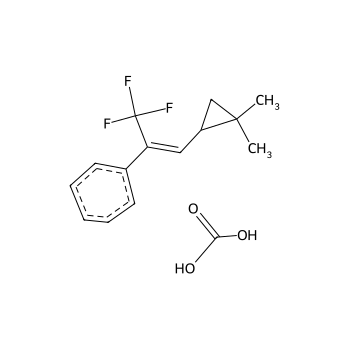 CC1(C)CC1C=C(c1ccccc1)C(F)(F)F.O=C(O)O